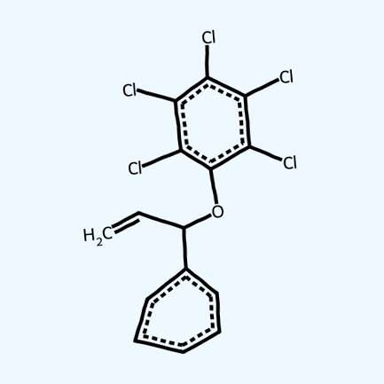 C=CC(Oc1c(Cl)c(Cl)c(Cl)c(Cl)c1Cl)c1ccccc1